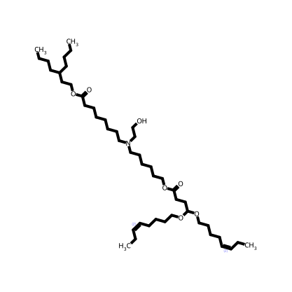 CC/C=C\CCCCOC(CCC(=O)OCCCCCCN(CCO)CCCCCCCC(=O)OCCC(CCCC)CCCC)OCCCC/C=C\CC